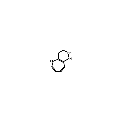 C1=CC2=C(CCNN2)NN=C1